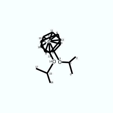 CC(C)O[C]12[CH]3[CH]4[CH]5[CH]1[Co]45321678[CH]2[CH]1[CH]6[C]7(OC(C)C)[CH]28